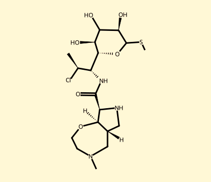 CSC1O[C@H]([C@H](NC(=O)[C@H]2NC[C@@H]3CN(C)CCO[C@H]32)[C@H](C)Cl)[C@@H](O)C(O)[C@H]1O